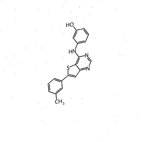 Cc1cccc(-c2cc3ncnc(Nc4cccc(O)c4)c3s2)c1